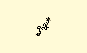 Cc1noc(C)c1CSCC(=O)N1C(C)CCC1CC(C)c1ccccc1C#CCO